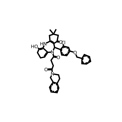 CC1(C)CC(=O)C2=C(C1)NC1=C(O)CCC=C1N(C(=O)CCC(=O)N1CCc3ccccc3C1)C2c1ccc(OCc2ccccc2)cc1Cl